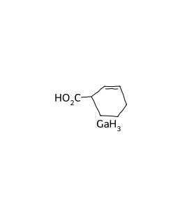 O=C(O)C1C=CCCC1.[GaH3]